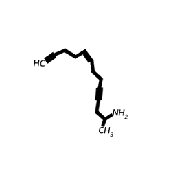 C#CCC/C=C\CCC#CCC(C)N